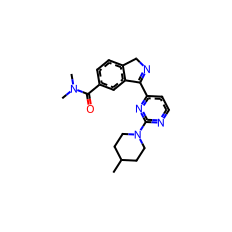 CC1CCN(c2nccc(C3=NCc4ccc(C(=O)N(C)C)cc43)n2)CC1